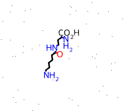 NCCCCCC(=O)NCCC(N)C(=O)O